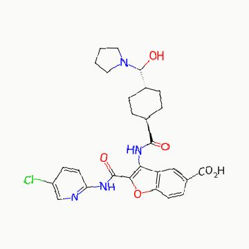 O=C(O)c1ccc2oc(C(=O)Nc3ccc(Cl)cn3)c(NC(=O)[C@H]3CC[C@H](C(O)N4CCCC4)CC3)c2c1